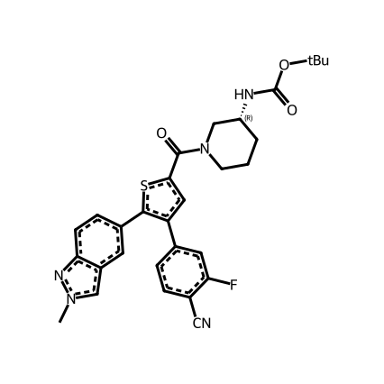 Cn1cc2cc(-c3sc(C(=O)N4CCC[C@@H](NC(=O)OC(C)(C)C)C4)cc3-c3ccc(C#N)c(F)c3)ccc2n1